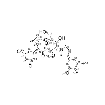 COc1cc(-c2cn([C@H]3[C@@H](O)[C@@H](CO)O[C@@H](C(=O)N(c4cc(Cl)cc(Cl)c4)[C@H]4CC[C@@H]4O)[C@@H]3OC)nn2)cc(F)c1F